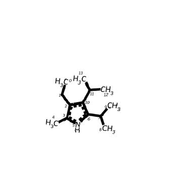 CCc1c(C)[nH]c(C(C)C)c1C(C)C